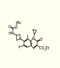 CCOC(=O)c1cc2cc(F)c(N3CC(NC(=O)OC(C)(C)C)C3)c(C)c2n(C2CC2)c1=O